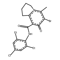 CCc1cc(Cl)cc(CC)c1NC(=O)c1c2n(c(C)c(Br)c1=O)CCCC2